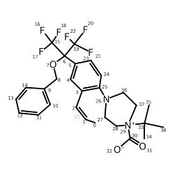 C/C=C\c1cc(C(OCc2ccccc2)(C(F)(F)F)C(F)(F)F)ccc1N1CC[N+](C(=O)[O-])(C(C)(C)C)CC1